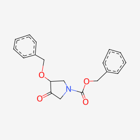 O=C1CN(C(=O)OCc2ccccc2)CC1OCc1ccccc1